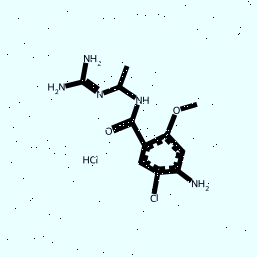 COc1cc(N)c(Cl)cc1C(=O)NC(C)N=C(N)N.Cl